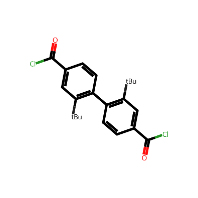 CC(C)(C)c1cc(C(=O)Cl)ccc1-c1ccc(C(=O)Cl)cc1C(C)(C)C